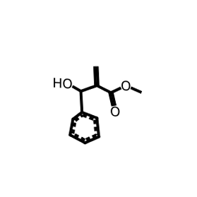 C=C(C(=O)OC)C(O)c1ccccc1